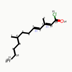 CC(/C=C/CCC(C)CCCC(C)C)=C\C(=O)Cl